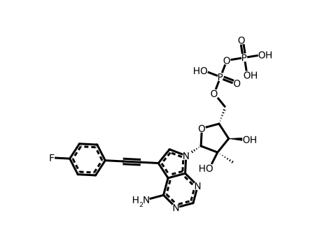 C[C@@]1(O)[C@H](O)[C@@H](COP(=O)(O)OP(=O)(O)O)O[C@H]1n1cc(C#Cc2ccc(F)cc2)c2c(N)ncnc21